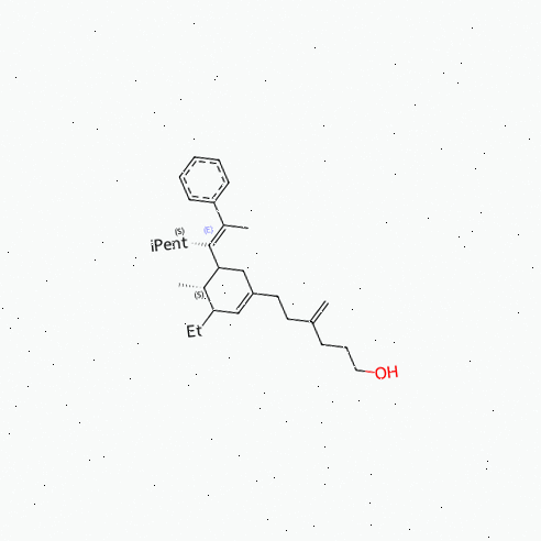 C=C(CCCO)CCC1=CC(CC)[C@H](C)C(/C(=C(\C)c2ccccc2)[C@@H](C)CCC)C1